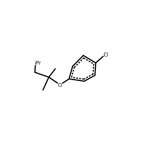 CC(C)CC(C)(C)Oc1ccc(Cl)cc1